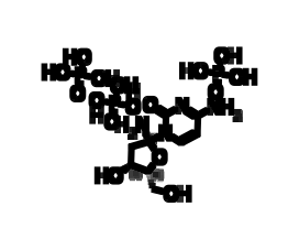 Nc1ccn([C@@]2(N)C[C@H](O)[C@@H](CO)O2)c(=O)n1.O=P(O)(O)O.O=P(O)(O)O.O=P(O)(O)O